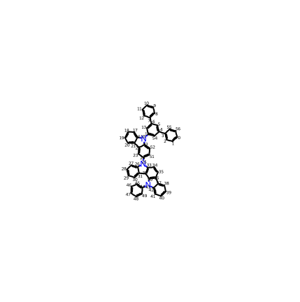 c1ccc(-c2cc(-c3ccccc3)cc(-n3c4ccccc4c4cc(-n5c6ccccc6c6c5ccc5c7ccccc7n(-c7ccccc7)c56)ccc43)c2)cc1